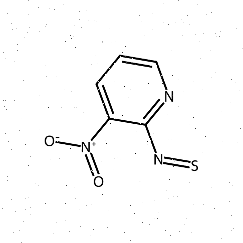 O=[N+]([O-])c1cccnc1N=S